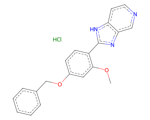 COc1cc(OCc2ccccc2)ccc1-c1nc2cnccc2[nH]1.Cl